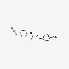 CC(=O)Oc1ccc(COC(=S)Nc2ccc(N=[N+]=[N-])cc2)cc1